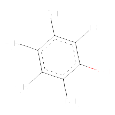 Bc1c(B)c(B)c(CC)c(O)c1B